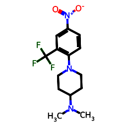 CN(C)C1CCN(c2ccc([N+](=O)[O-])cc2C(F)(F)F)CC1